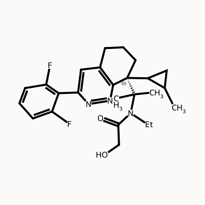 CCN(C(=O)CO)C(C)(C)[C@@]1(C2CC2C)CCCc2cc(-c3c(F)cccc3F)nnc21